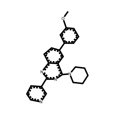 COc1cccc(-c2ccc3nc(-c4cccnc4)nc(N4CCCCC4)c3c2)c1